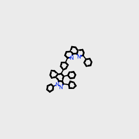 c1ccc(-c2ccc3ccc4ccc(-c5ccc(-c6c(-c7ccccc7)c7c(-c8ccccc8)nn(-c8ccccc8)c7c7ccccc67)cc5)nc4c3n2)cc1